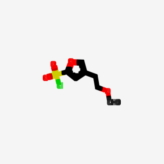 O=COCCc1coc(S(=O)(=O)Cl)c1